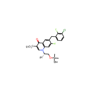 CCOC(=O)c1cn([C@H](CO[Si](C)(C)C(C)(C)C)C(C)C)c2cc(F)c(Cc3cccc(Cl)c3F)cc2c1=O